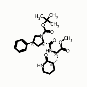 COC(=O)[C@H](C[C@@H]1CCCNC1=O)NC(=O)[C@@H]1C[C@@H](c2ccccc2)CN1C(=O)OC(C)(C)C